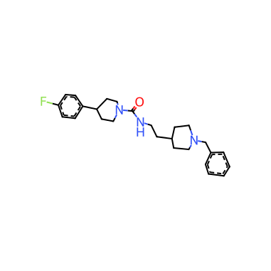 O=C(NCCC1CCN(Cc2ccccc2)CC1)N1CCC(c2ccc(F)cc2)CC1